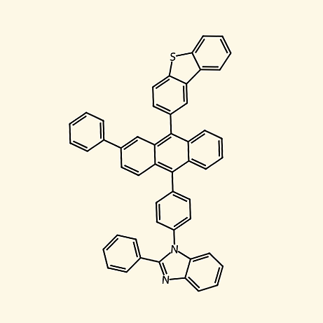 c1ccc(-c2ccc3c(-c4ccc(-n5c(-c6ccccc6)nc6ccccc65)cc4)c4ccccc4c(-c4ccc5sc6ccccc6c5c4)c3c2)cc1